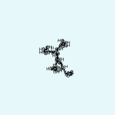 O=C(CCCCC(=O)ON1C(=O)CCC1=O)NCCCC[C@H](NC(=O)CNC(=O)CN(CC(=O)NCCO[C@H]1O[C@H](CO)[C@@H](O)[C@H](O)[C@@H]1O)CC(=O)NCCO[C@H]1O[C@H](CO)[C@@H](O)[C@H](O)[C@@H]1O)C(=O)NCCO[C@H]1O[C@H](CO)[C@@H](O)[C@H](O)[C@@H]1O